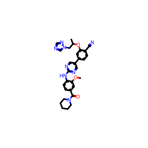 COc1cc(C(=O)N2CCCCC2)ccc1Nc1ncc(-c2ccc(C#N)c(OC(C)Cn3cncn3)c2)cn1